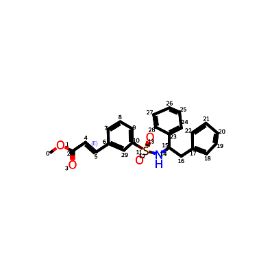 COC(=O)/C=C/c1cccc(S(=O)(=O)NC(Cc2ccccc2)c2ccccc2)c1